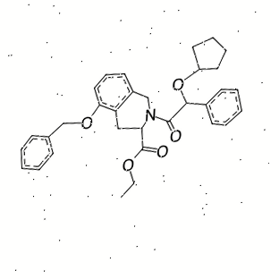 CCOC(=O)C1Cc2c(cccc2OCc2ccccc2)CN1C(=O)C(OC1CCCC1)c1ccccc1